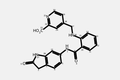 O=C1Cc2ccc(NC(=O)c3ccccc3NCc3ccnc(C(=O)O)c3)cc2N1